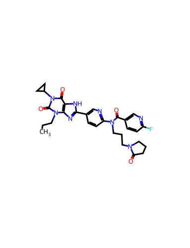 CCCn1c(=O)n(C2CC2)c(=O)c2[nH]c(-c3ccc(N(CCCN4CCCC4=O)C(=O)c4ccc(F)nc4)nc3)nc21